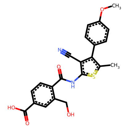 COc1ccc(-c2c(C)sc(NC(=O)c3ccc(C(=O)O)cc3CO)c2C#N)cc1